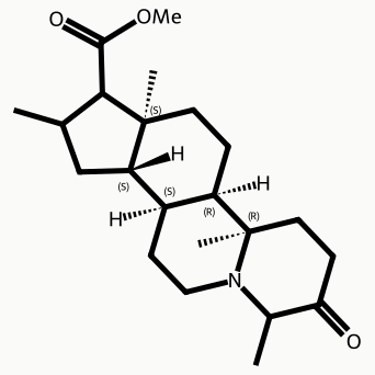 COC(=O)C1C(C)C[C@H]2[C@@H]3CCN4C(C)C(=O)CC[C@]4(C)[C@@H]3CC[C@]12C